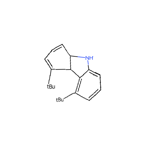 CC(C)(C)C1=CC=CC2Nc3cccc(C(C)(C)C)c3C12